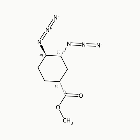 COC(=O)[C@@H]1CC[C@@H](N=[N+]=[N-])[C@H](N=[N+]=[N-])C1